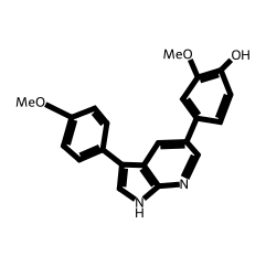 COc1ccc(-c2c[nH]c3ncc(-c4ccc(O)c(OC)c4)cc23)cc1